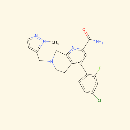 Cn1nccc1CN1CCc2c(-c3ccc(Cl)cc3F)cc(C(N)=O)nc2C1